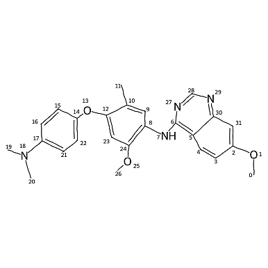 COc1ccc2c(Nc3cc(C)c(Oc4ccc(N(C)C)cc4)cc3OC)ncnc2c1